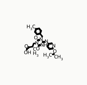 Cc1ccc(Cn2c(=O)n(C[C@H](C)C3OC3O)c(=O)[nH]/c2=N\c2ccc(OC(C)C)nc2)cc1